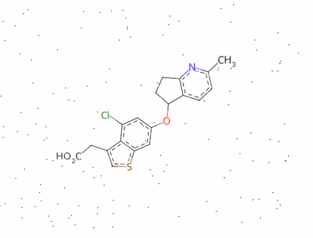 Cc1ccc2c(n1)CCC2Oc1cc(Cl)c2c(CC(=O)O)csc2c1